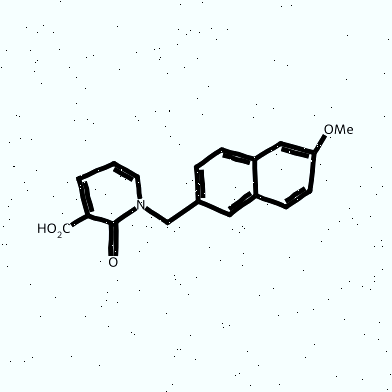 COc1ccc2cc(Cn3cccc(C(=O)O)c3=O)ccc2c1